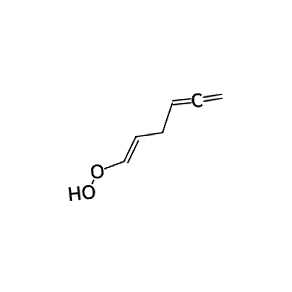 C=C=CCC=COO